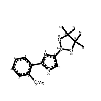 COc1ccccc1-c1nc(B2OC(C)(C)C(C)(C)O2)cs1